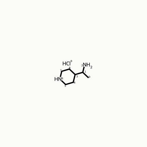 CC(N)C1CCNCC1.Cl